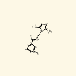 Cc1ncc(N=O)n1CCNC(=O)c1cccc(I)c1